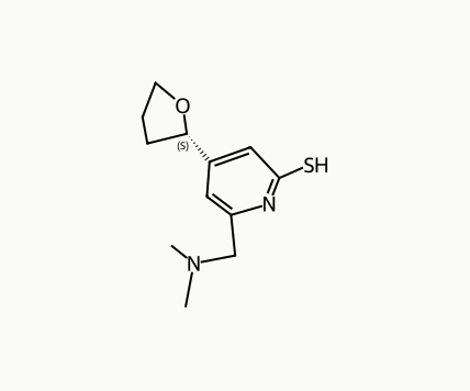 CN(C)Cc1cc([C@@H]2CCCO2)cc(S)n1